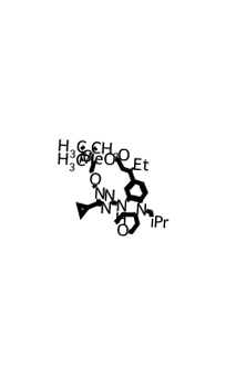 CC[C@H](CC(=O)OC)c1ccc(N(CC(C)C)C2CCOCC2)c(Nc2nc(C3CC3)n(COCC[Si](C)(C)C)n2)c1